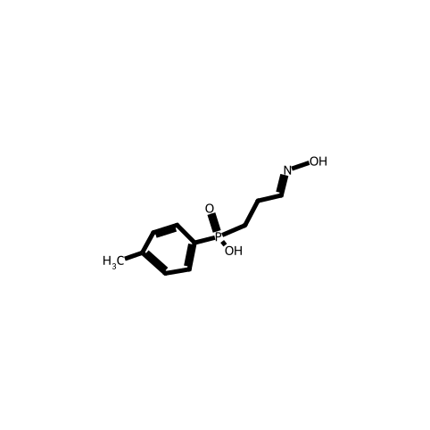 Cc1ccc(P(=O)(O)CCC=NO)cc1